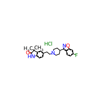 CC1(C)C(=O)Nc2ccc(CCN3CCC(c4noc5cc(F)ccc45)CC3)cc21.Cl